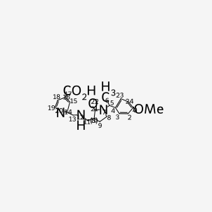 COc1ccc(C(C)N2CC[C@@H](CNCc3cc(C(=O)O)ccn3)C2=O)cc1